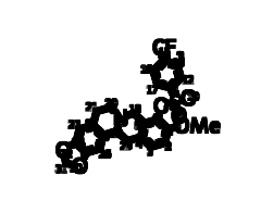 COc1ccc2c(c1OS(=O)(=O)c1ccc(C(F)(F)F)cc1)CN1CCc3cc4c(cc3C1C2)OCO4